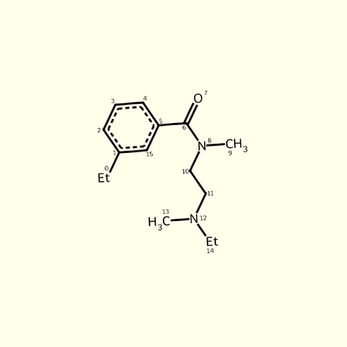 CCc1cccc(C(=O)N(C)CCN(C)CC)c1